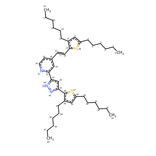 CCCCCCc1cc(CCCCCC)c(/C=C/c2ccnc(-c3cc(-c4sc(CCCCCC)cc4CCCCCC)n[nH]3)c2)s1